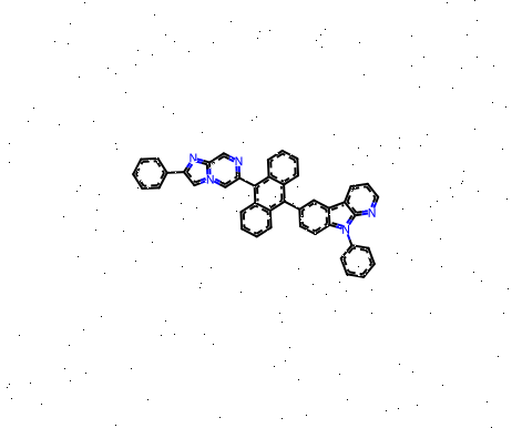 c1ccc(-c2cn3cc(-c4c5ccccc5c(-c5ccc6c(c5)c5cccnc5n6-c5ccccc5)c5ccccc45)ncc3n2)cc1